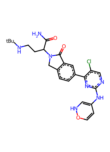 CC(C)(C)NCCC(C(N)=O)N1Cc2ccc(-c3nc(NC4=CNOC=C4)ncc3Cl)cc2C1=O